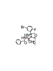 COC[C@H]1OC[C@@](NC(=S)NC(=O)c2ccccc2)(c2cc(Br)ccc2F)[C@@H]1CO